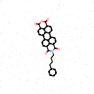 O=C1OC(=O)c2ccc3c4ccc5c6c(ccc(c7ccc1c2c73)c64)C(=O)N(CCCCc1ccccc1)C5=O